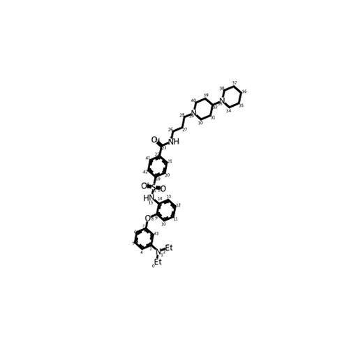 CCN(CC)c1cccc(Oc2ccccc2NS(=O)(=O)c2ccc(C(=O)NCCCN3CCC(N4CCCCC4)CC3)cc2)c1